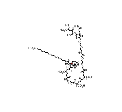 NC(=O)CC[C@H](NC(=O)COCCOCCNC(=O)COCCOCCNC(=O)CC[C@H](NC(=O)CC[C@H](NC(=O)CC[C@H](NC(=O)CC[C@H](NC(=O)CC[C@H](NC(=O)CC[C@H](NC(=O)CCCCCCCCCCCCCCCCCCC(=O)O)C(=O)O)C(=O)O)C(=O)O)C(=O)O)C(=O)O)C(=O)O)C(=O)C[C@@H](CS)C(=O)C[C@@H](CS)C(=O)O